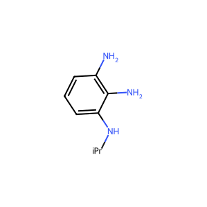 CC(C)Nc1cccc(N)c1N